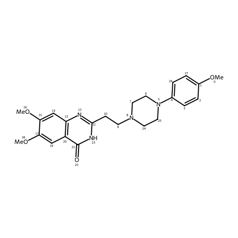 COc1ccc(N2CCN(CCc3nc4cc(OC)c(OC)cc4c(=O)[nH]3)CC2)cc1